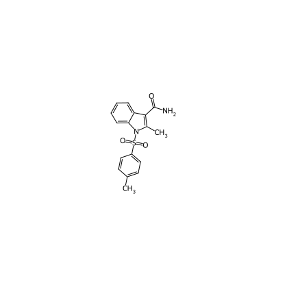 Cc1ccc(S(=O)(=O)n2c(C)c(C(N)=O)c3ccccc32)cc1